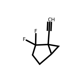 C#CC12CC1CCC2(F)F